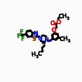 CCCC[C@@H]1CN(c2nc3ccc(C(F)(F)F)cc3s2)CCN1Cc1cc(C)cc(OCC(=O)OCC)c1